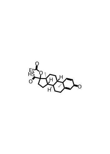 CCC(=O)OC1(C(=O)S)CC[C@H]2[C@@H]3CCC4=CC(=O)C=C[C@]4(C)[C@H]3CC[C@@]21C